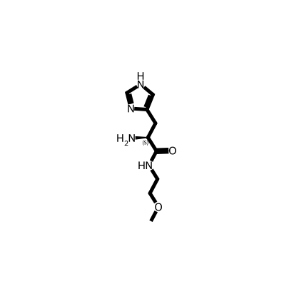 COCCNC(=O)[C@@H](N)Cc1c[nH]cn1